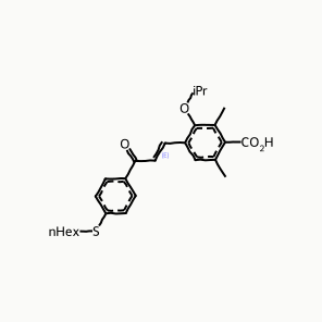 CCCCCCSc1ccc(C(=O)/C=C/c2cc(C)c(C(=O)O)c(C)c2OC(C)C)cc1